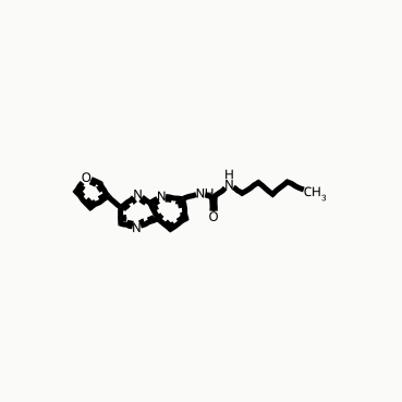 CCCCCNC(=O)Nc1ccc2ncc(-c3ccoc3)nc2n1